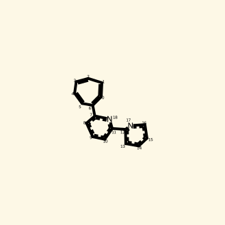 C1=CC=CC=CC=1c1cccc(-c2ccccn2)n1